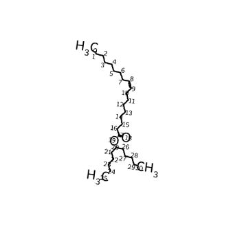 CCCCCCCC/C=C\CCCCCCCC(=O)OC(CCCCC)CCCCC